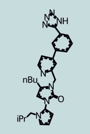 CCCCc1cn(-c2cccn2CC(C)C)c(=O)n1Cc1cc(-c2cccc(-c3nnn[nH]3)c2)ccn1